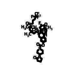 CC(C)(CC[C@@H]1Cc2cc(OC(=O)N3CCC(N4CCCC4=O)CC3)ccc2[C@H]2CC[C@]3(C)C(=O)C(F)C[C@H]3[C@H]12)CC(C)(C)[S+]([O-])CCCC(F)(F)C(F)(F)F